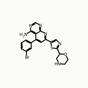 Nc1ncnc2nc(-c3cnc(C4CNCCO4)s3)cc(-c3cccc(Br)c3)c12